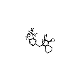 CN(c1cc(Cc2n[nH]c(=O)c3c2CCCC3)ccc1F)S(C)(=O)=O